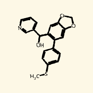 CSc1ccc(-c2cc3c(cc2C(O)c2cccnc2)OCO3)cc1